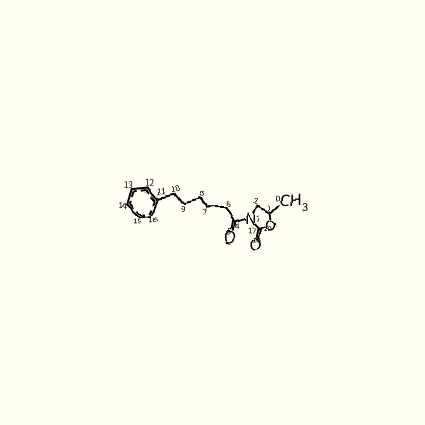 CC1CN(C(=O)CCCCCc2ccccc2)C(=O)O1